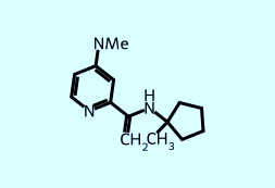 C=C(NC1(C)CCCC1)c1cc(NC)ccn1